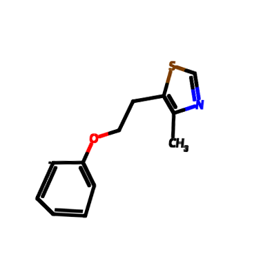 Cc1ncsc1CCOc1[c]cccc1